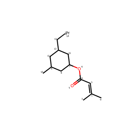 CC(C)=CC(=O)OC1CC(C)CC(CC(C)C)C1